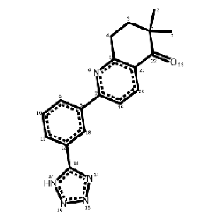 CC1(C)CCc2nc(-c3cccc(-c4nnn[nH]4)c3)ccc2C1=O